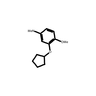 CNc1ccc(OC)c(OC2CCCC2)c1